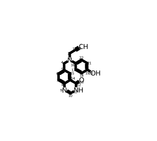 C#CCN(Cc1ccc2nc[nH]c(=O)c2c1)c1ccc(O)cc1